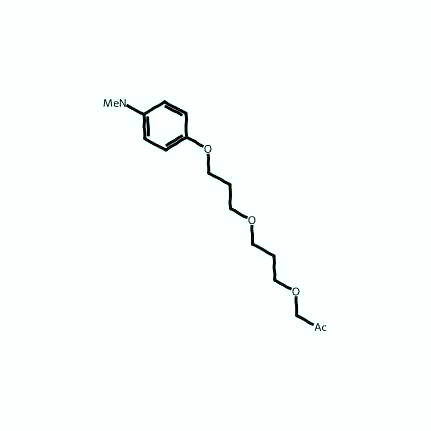 CNc1ccc(OCCCOCCCOCC(C)=O)cc1